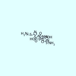 CC(C)(N)CSCc1cnccc1SC1(C(=O)O)CS[C@@H]2[C@H](NC(=O)C(=NO)c3nc(N)sc3Cl)C(=O)N2C1